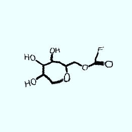 O=C(F)OCC1OCC(O)C(O)C1O